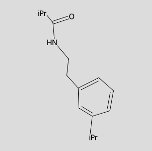 CC(C)C(=O)NCCc1cccc(C(C)C)c1